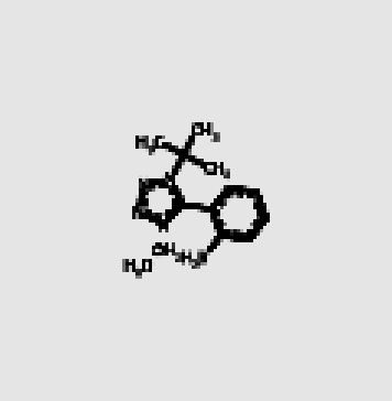 Bc1ccccc1-c1nnnn1C(C)(C)C.O.O